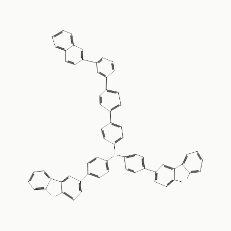 c1cc(-c2ccc(-c3ccc(N(c4ccc(-c5ccc6oc7ccccc7c6c5)cc4)c4ccc(-c5ccc6sc7ccccc7c6c5)cc4)cc3)cc2)cc(-c2ccc3ccccc3c2)c1